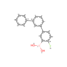 OB(O)c1cc(-c2cccc(-c3ccccc3)c2)ccc1F